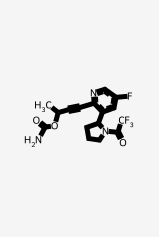 CC(C#Cc1ncc(F)cc1C1CCCN1C(=O)C(F)(F)F)OC(N)=O